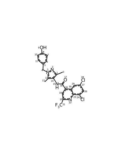 Cc1nn(Cc2ccc(O)cc2)c(C)c1NC(=O)c1cc(C(F)(F)F)nc2c(Cl)cc(Cl)cc12